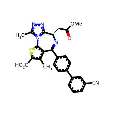 COC(=O)C[C@@H]1N=C(c2ccc(-c3cccc(C#N)c3)cc2)c2c(sc(C(=O)O)c2C)-n2c(C)nnc21